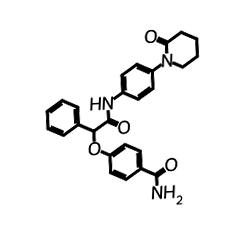 NC(=O)c1ccc(OC(C(=O)Nc2ccc(N3CCCCC3=O)cc2)c2ccccc2)cc1